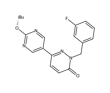 CC[C@@H](C)Oc1ncc(-c2ccc(=O)n(Cc3cccc(F)c3)n2)cn1